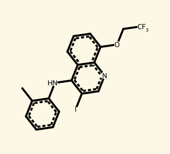 Cc1ccccc1Nc1c(I)cnc2c(OCC(F)(F)F)cccc12